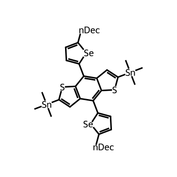 CCCCCCCCCCc1ccc(-c2c3c[c]([Sn]([CH3])([CH3])[CH3])sc3c(-c3ccc(CCCCCCCCCC)[se]3)c3c[c]([Sn]([CH3])([CH3])[CH3])sc23)[se]1